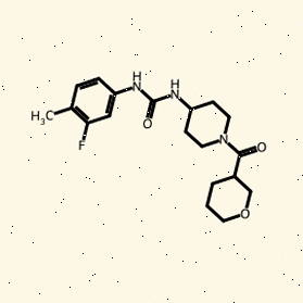 Cc1ccc(NC(=O)NC2CCN(C(=O)C3CCCOC3)CC2)cc1F